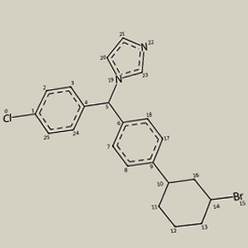 Clc1ccc(C(c2ccc(C3CCCC(Br)C3)cc2)n2ccnc2)cc1